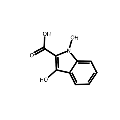 O=C(O)c1c(O)c2ccccc2n1O